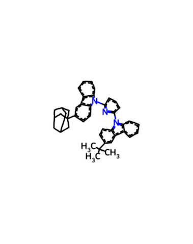 CC(C)(C)c1ccc2c(c1)c1ccccc1n2-c1cccc(-n2c3ccccc3c3cc(C45CC6CC(CC(C6)C4)C5)ccc32)n1